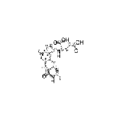 Cc1nc2ccc(CN(C)c3ccc(NC(CCC(=O)O)C(=O)O)s3)cc2c(=O)[nH]1